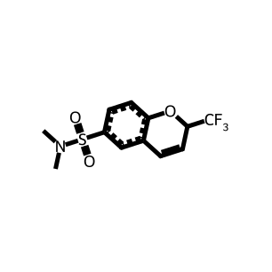 CN(C)S(=O)(=O)c1ccc2c(c1)C=CC(C(F)(F)F)O2